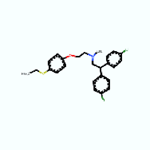 CN(CCOc1ccc(SCC(=O)O)cc1)CC(c1ccc(Cl)cc1)c1ccc(Cl)cc1